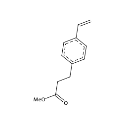 C=Cc1ccc(CCC(=O)OC)cc1